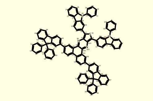 c1ccc(-n2c3ccccc3c3ccc(-c4sc(-c5ccc6c7ccccc7n(-c7ccccc7)c6c5)c5nc6c7cc(-c8ccc9c(c8)C(c8ccccc8)(c8ccccc8)c8ccccc8-9)ccc7c7ccc(-c8ccc9c(c8)C(c8ccccc8)(c8ccccc8)c8ccccc8-9)cc7c6nc45)cc32)cc1